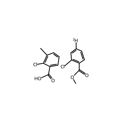 Cc1cccc(C(=O)O)c1Cl.[2H]c1ccc(C(=O)OC)c(Cl)c1